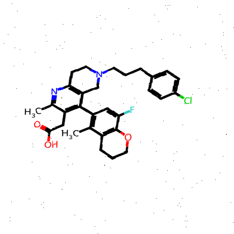 Cc1nc2c(c(-c3cc(F)c4c(c3C)CCCO4)c1CC(=O)O)CN(CCCc1ccc(Cl)cc1)CC2